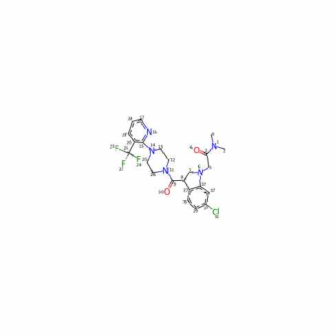 CN(C)C(=O)CN1CC(C(=O)N2CCN(c3ncccc3C(F)(F)F)CC2)c2ccc(Cl)cc21